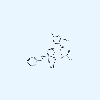 COc1c(Nc2ccc(I)cc2C)c(C(N)=O)cc(C2CC2)c1S(=O)(=O)NCc1cccnc1